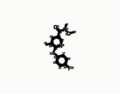 CON(C)C(=O)c1cnc(Sc2ccc(F)cc2)c(C)c1